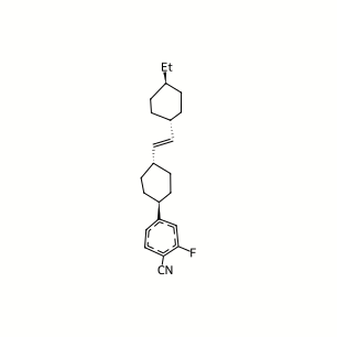 CC[C@H]1CC[C@H](C=C[C@H]2CC[C@H](c3ccc(C#N)c(F)c3)CC2)CC1